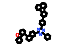 c1ccc(-c2nc(-c3ccc(-c4ccc5c(c4)-c4cccc6cccc-5c46)cc3)nc(-c3ccc4c(-c5cccc6oc7ccccc7c56)cccc4c3)n2)cc1